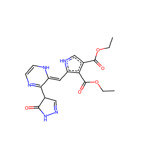 CCOC(=O)c1c[nH]c(C=C2NC=CN=C2C2C=NNC2=O)c1C(=O)OCC